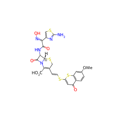 COc1ccc2c(=O)cc(SC=CC3=C(C(=O)O)N4C(=O)C(NC(=O)C(=NO)c5csc(N)n5)[C@@H]4SC3)sc2c1